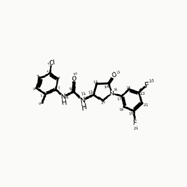 Cc1ccc(Cl)cc1NC(=O)NC1CC(=O)N(c2cc(F)cc(F)c2)C1